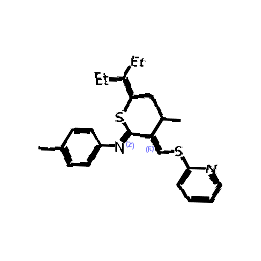 CCC(CC)=C1CC(C)C(=C\Sc2ccccn2)/C(=N/c2ccc(C)cc2)S1